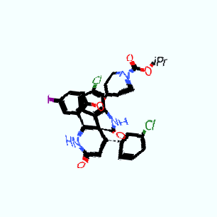 CC(C)OC(=O)N1CCC(Oc2ccc(I)cc2[C@@H]2NC(=O)C[C@@H](C3C=CC=C(Cl)C3)[C@]23C(=O)Nc2cc(Cl)ccc23)CC1